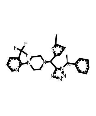 Cc1ccc(C(c2nnnn2[C@@H](C)c2ccccc2)N2CCN(c3ncccc3C(F)(F)F)CC2)s1